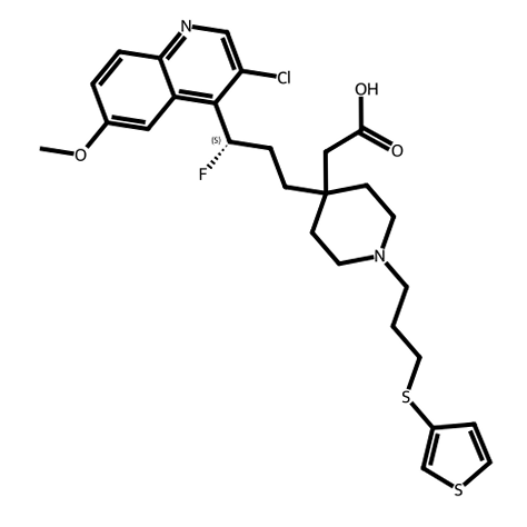 COc1ccc2ncc(Cl)c([C@@H](F)CCC3(CC(=O)O)CCN(CCCSc4ccsc4)CC3)c2c1